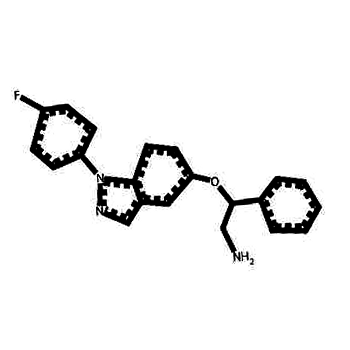 NCC(Oc1ccc2c(cnn2-c2ccc(F)cc2)c1)c1ccccc1